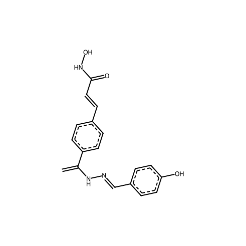 C=C(N/N=C/c1ccc(O)cc1)c1ccc(/C=C/C(=O)NO)cc1